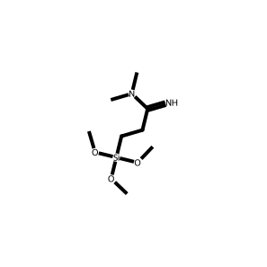 CO[Si](CCC(=N)N(C)C)(OC)OC